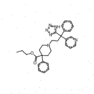 CCCOC(=O)C1(c2ccccc2)CCN(CCC(c2ccccc2)(c2cccnc2)c2nnn[nH]2)CC1